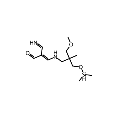 COCC(C)(CN/C=C(\C=N)C=O)CO[SiH](C)C